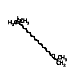 C=C(C)COCCCCCCCCCCCCCCCCC[Si](C)(C)I